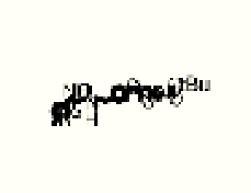 Cc1ccc2c(N)c(C(=O)NCCc3ccc(OC4COC5(C4)CN(C(=O)OC(C)(C)C)C5)cc3)sc2n1